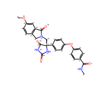 CNC(=O)c1ccc(Oc2ccc([C@]3(CN4Cc5ccc(OC)cc5C4=O)NC(=O)NC3=O)cc2)cc1